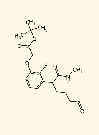 CNC(=O)C(CCCC=O)c1cccc(OCC(=O)OC(C)(C)C)c1F